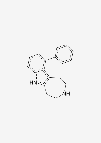 c1ccc(-c2cccc3[nH]c4c(c23)CCNCC4)cc1